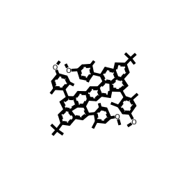 COc1cc(C)c(-c2cc3cc(C(C)(C)C)cc4cc(-c5c(C)cc(OC)cc5C)c5c6cc7cc8c(-c9c(C)cc(OC)cc9C)cc9cc(C(C)(C)C)cc%10cc(-c%11c(C)cc(OC)cc%11C)c(c7cc6cc2c5c34)c8c9%10)c(C)c1